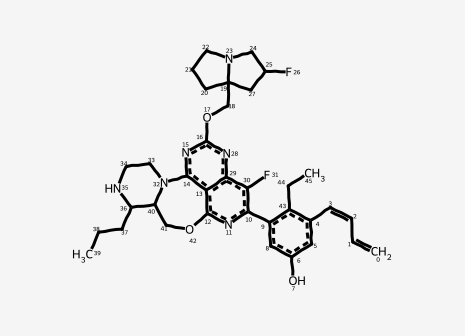 C=C/C=C\c1cc(O)cc(-c2nc3c4c(nc(OCC56CCCN5CC(F)C6)nc4c2F)N2CCNC(CCC)C2CO3)c1CC